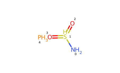 N[SH](=O)=O.P